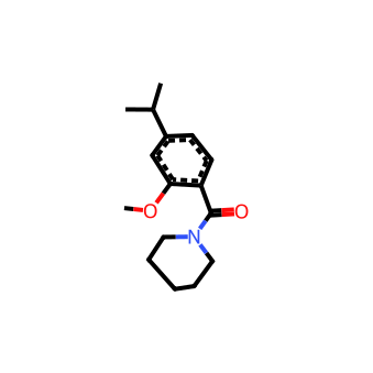 COc1cc(C(C)C)ccc1C(=O)N1CCCCC1